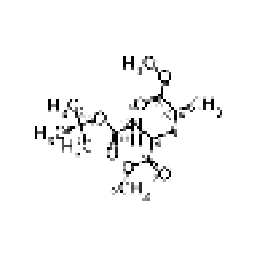 COC(=O)C(C[C@H](C)C(=O)OC)NC(=O)OC(C)(C)C